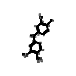 Cc1cc(Nc2ccc(F)c(Cl)c2)ccc1N